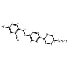 CCCCCC1CCC(c2ccc(CCc3ccc(F)cc3F)cc2)CC1